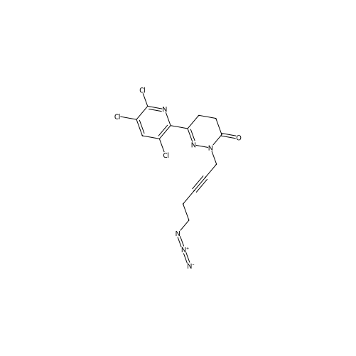 [N-]=[N+]=NCCC#CCN1N=C(c2nc(Cl)c(Cl)cc2Cl)CCC1=O